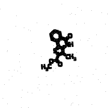 COC(=O)c1sc2c([nH]c(=O)c3ccccc32)c1C